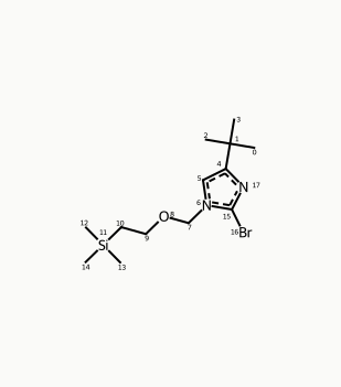 CC(C)(C)c1cn(COCC[Si](C)(C)C)c(Br)n1